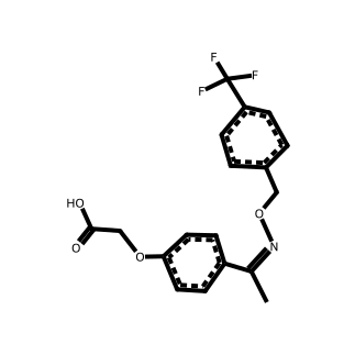 CC(=NOCc1ccc(C(F)(F)F)cc1)c1ccc(OCC(=O)O)cc1